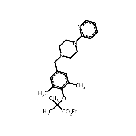 CCOC(=O)C(C)(C)Oc1c(C)cc(CN2CCN(c3ccccn3)CC2)cc1C